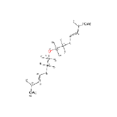 CC(=O)OC(C)C=CCC(C)(C)[Si](C)(C)O[Si](C)(C)C(C)(C)CC=CC(C)OC(C)=O